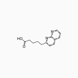 O=C(O)CCCCc1ccc2cccnc2n1